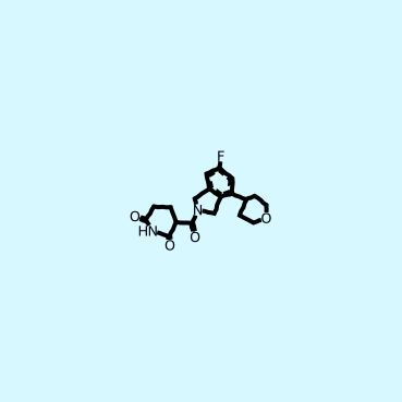 O=C1CCC(C(=O)N2Cc3cc(F)cc(C4CCOCC4)c3C2)C(=O)N1